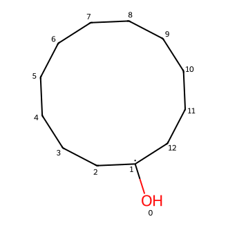 O[C]1CCCCCCCCCCC1